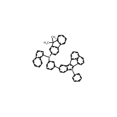 CC1(C)c2ccccc2-c2ccc(N(c3cccc(-c4ccc5c(c4)c4c(n5-c5ccccc5)-c5cccc6cccc-4c56)c3)c3cccc4ccccc34)cc21